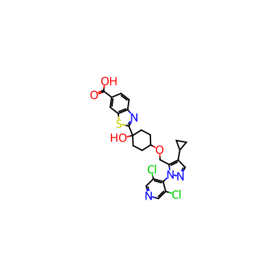 O=C(O)c1ccc2nc(C3(O)CCC(OCc4c(C5CC5)cnn4-c4c(Cl)cncc4Cl)CC3)sc2c1